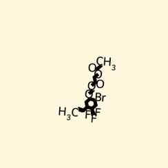 C/C=C/C1CC(OCOC(=O)COC(=O)CC)C(Br)CC1C(F)(F)F